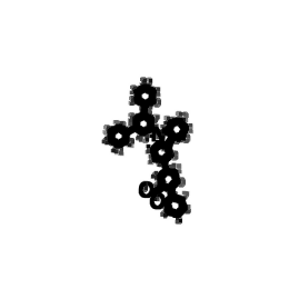 O=c1oc2ccccc2c2ccc(-c3ccc4c(c3)c3ccccc3n4-c3cc(-c4ccccc4)cc(-c4ccccc4)c3)cc12